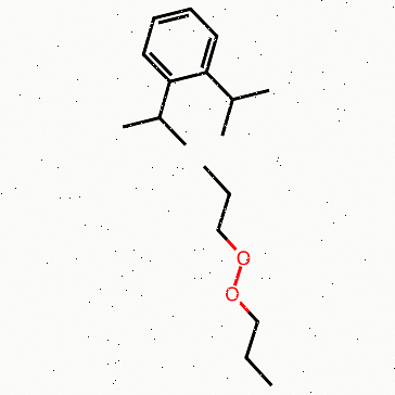 CC(C)c1ccccc1C(C)C.CCCOOCCC